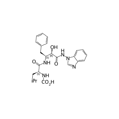 CC(C)C[C@H](NC(=O)O)C(=O)N[C@@H](Cc1ccccc1)[C@@H](O)C(=O)Nn1cnc2ccccc21